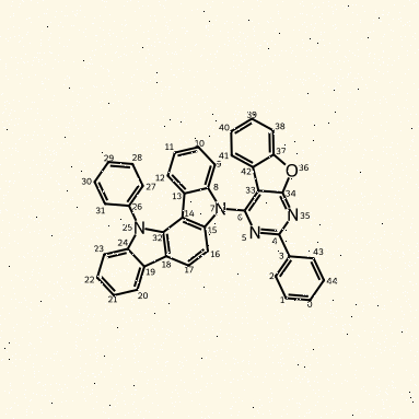 c1ccc(-c2nc(-n3c4ccccc4c4c3ccc3c5ccccc5n(-c5ccccc5)c34)c3c(n2)oc2ccccc23)cc1